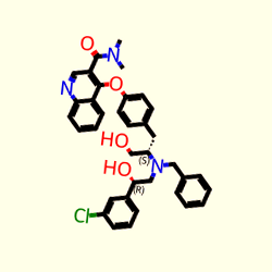 CN(C)C(=O)c1cnc2ccccc2c1Oc1ccc(C[C@@H](CO)N(Cc2ccccc2)C[C@H](O)c2cccc(Cl)c2)cc1